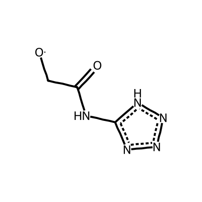 [O]CC(=O)Nc1nnn[nH]1